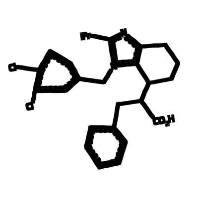 CC(C)c1nc2c(n1Cc1ccc(Cl)c(Cl)c1)C(C(Cc1ccccc1)C(=O)O)CCC2